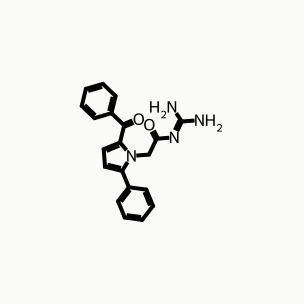 NC(N)=NC(=O)Cn1c(C(=O)c2ccccc2)ccc1-c1ccccc1